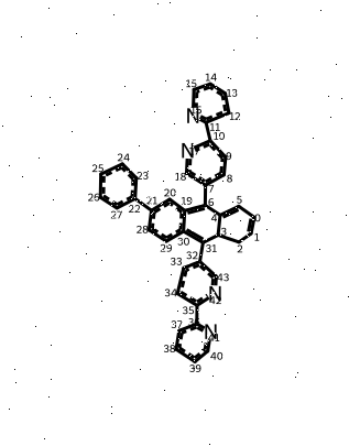 C1=CCC2C(=C1)C(c1ccc(-c3ccccn3)nc1)=c1cc(-c3ccccc3)ccc1=C2c1ccc(-c2ccccn2)nc1